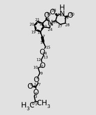 CC(C)COC(=O)COCCOCCOCC#Cc1cccc2c1CN(C1CCC(=O)NC1=O)C2=O